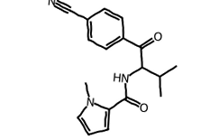 CC(C)C(NC(=O)c1cccn1C)C(=O)c1ccc(C#N)cc1